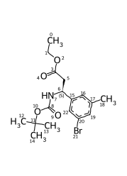 CCOC(=O)C[C@H](NC(=O)OC(C)(C)C)c1cc(C)cc(Br)c1